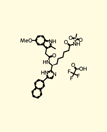 COc1ccc2[nH]c(C)c(CC(=O)N[C@@H](CCCCCC(=O)NS(C)(=O)=O)c3ncc(-c4ccc5ccccc5c4)[nH]3)c2c1.O=C(O)C(F)(F)F